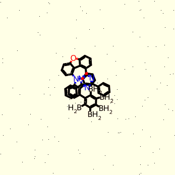 Bc1c(B)c(B)c(-c2cccc3c2c2ccccc2n3-c2cccc3oc4cccc(-c5nc(-c6ccccc6)nc(-c6ccccc6)n5)c4c23)c(B)c1B